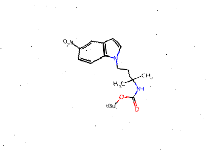 CC(C)(CCn1ccc2cc([N+](=O)[O-])ccc21)NC(=O)OC(C)(C)C